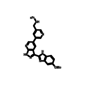 CCCNCc1cncc(-c2cnc3[nH]nc(-c4nc5cc(OC)ccc5[nH]4)c3c2)c1